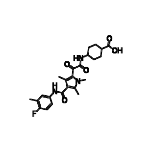 Cc1cc(NC(=O)c2c(C)c(C(=O)C(=O)NC3CCC(C(=O)O)CC3)n(C)c2C)ccc1F